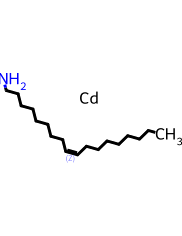 CCCCCCCC/C=C\CCCCCCCCN.[Cd]